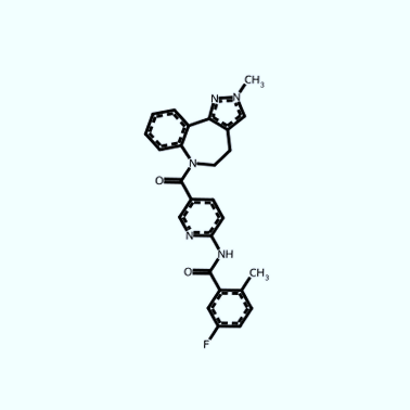 Cc1ccc(F)cc1C(=O)Nc1ccc(C(=O)N2CCc3cn(C)nc3-c3ccccc32)cn1